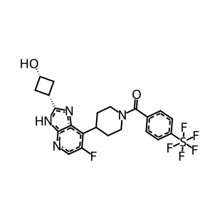 O=C(c1ccc(S(F)(F)(F)(F)F)cc1)N1CCC(c2c(F)cnc3[nH]c([C@H]4C[C@@H](O)C4)nc23)CC1